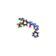 Cc1cc(NC(=O)Nc2nnc(-c3ccncc3)s2)ccc1OC(F)(F)F